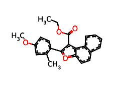 CCOC(=O)c1c(-c2ccc(OC)cc2C)oc2ccc3ccccc3c12